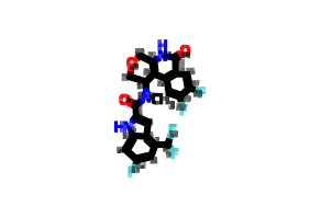 CN(C(=O)c1cc2c(C(F)F)cc(F)cc2[nH]1)C1COCc2[nH]c(=O)c3cc(F)c(F)cc3c21